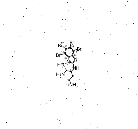 Cn1c(NC(CN)CCN)nc2c(Br)c(Br)c(Br)c(Br)c21